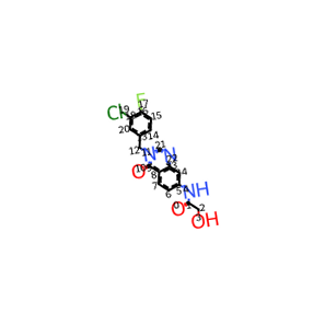 O=C(CO)Nc1ccc2c(=O)n(Cc3ccc(F)c(Cl)c3)cnc2c1